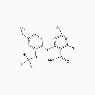 [2H]C([2H])([2H])Oc1cc(OC(F)(F)F)ccc1Oc1cc(Br)cc(F)c1C(=O)OC